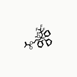 C=C(C)C(=O)OCCCC(CC(F)(F)[C](F)F)(OC)S(c1ccccc1)(c1ccccc1)c1ccccc1